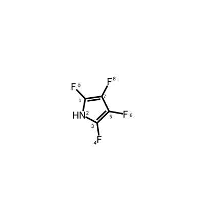 Fc1[nH]c(F)c(F)c1F